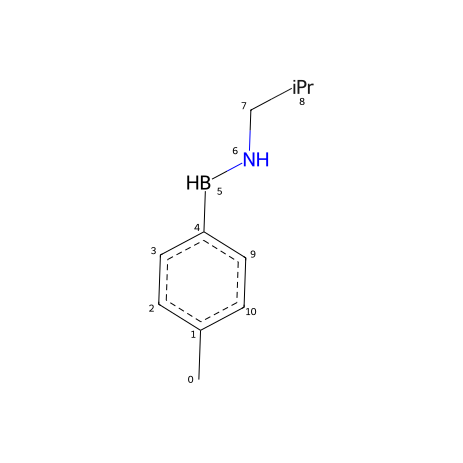 Cc1ccc(BNCC(C)C)cc1